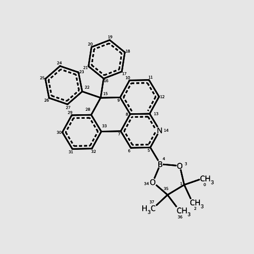 CC1(C)OB(c2cc3c4c(cccc4n2)C(c2ccccc2)(c2ccccc2)c2ccccc2-3)OC1(C)C